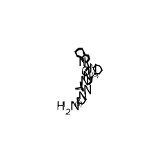 Cc1cn2nc([C@@H]3CCCCN3C(=O)c3ccc4ccccc4n3)cc2nc1N1CC[C@H](N)C1